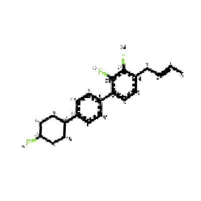 CC=CCc1ccc(-c2ccc(C3CCC(F)CC3)cc2)c(F)c1F